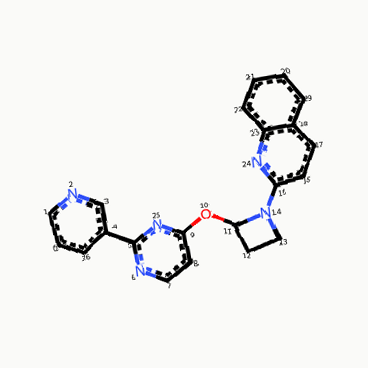 c1cncc(-c2nccc(OC3CCN3c3ccc4ccccc4n3)n2)c1